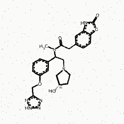 CN(C(=O)Cc1ccc2oc(=O)[nH]c2c1)C(CN1CC[C@H](O)C1)c1cccc(OCc2nn[nH]n2)c1